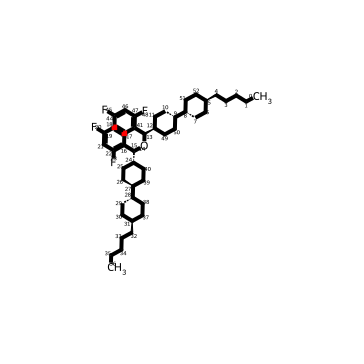 CCCCC[C@H]1CC[C@H]([C@H]2CC[C@H](C(OC(c3ccc(F)cc3F)[C@H]3CC[C@H]([C@H]4CC[C@H](CCCCC)CC4)CC3)c3ccc(F)cc3F)CC2)CC1